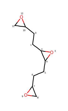 C(CC1OC1CCC1CO1)C1CO1